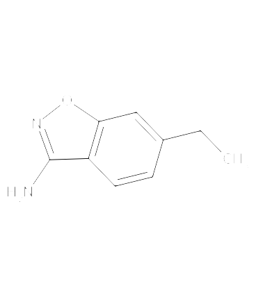 CCc1ccc2c(N)noc2c1